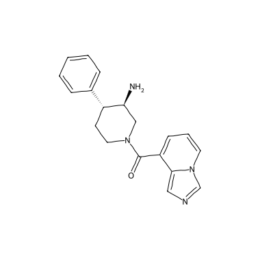 N[C@H]1CN(C(=O)c2cccn3cncc23)CC[C@@H]1c1ccccc1